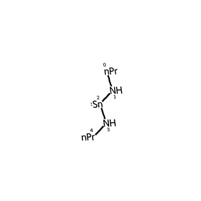 CCC[NH][Sn][NH]CCC